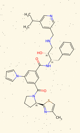 Cc1csc([C@H]2CCCN2C(=O)c2cc(C(=O)N[C@@H](Cc3ccccc3)[C@H](O)CNCc3cncc(C(C)C)c3)cc(-n3cccc3)c2)n1